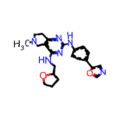 CN1CCc2nc(Nc3ccc(-c4cnco4)cc3)nc(NCC3CCCO3)c2C1